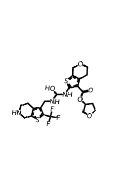 O=C(OC1CCOC1)c1c(NC(O)NCc2c(C(F)(F)F)sc3c2CCNC3)sc2c1CCOC2